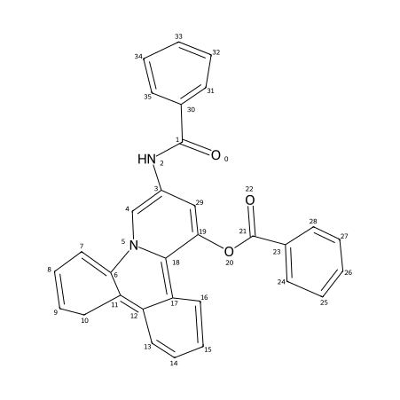 O=C(NC1=CN2C3=CC=CCC3=c3ccccc3=C2C(OC(=O)c2ccccc2)=C1)c1ccccc1